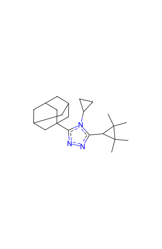 CC1(C)C(c2nnc(C34CC5CC(CC(C5)C3)C4)n2C2CC2)C1(C)C